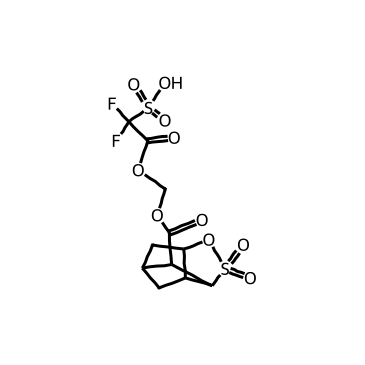 O=C(OCOC(=O)C(F)(F)S(=O)(=O)O)C1C2CC3OS(=O)(=O)C1C3C2